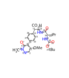 COc1cnn(C)c(=O)c1-c1ccc(C[C@@H](NC(=O)C(NC(=O)OC(C)(C)C)C(C)C)C(=O)O)cc1